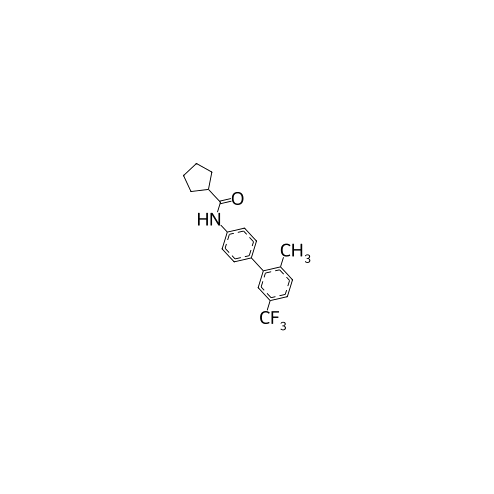 Cc1ccc(C(F)(F)F)cc1-c1ccc(NC(=O)C2CCCC2)cc1